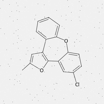 Cc1cc2c(o1)-c1cc(Cl)ccc1Oc1ccccc1-2